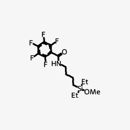 CC[Si](CC)(CCCCNC(=O)c1c(F)c(F)c(F)c(F)c1F)OC